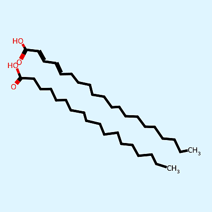 CCCCCCCCCCCCCCCC=CC=CC(=O)O.CCCCCCCCCCCCCCCCCC(=O)O